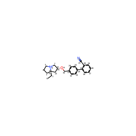 CC[C@@]12CCCN1C[C@H](OCc1ccc(-c3ccccc3C#N)cc1)C2